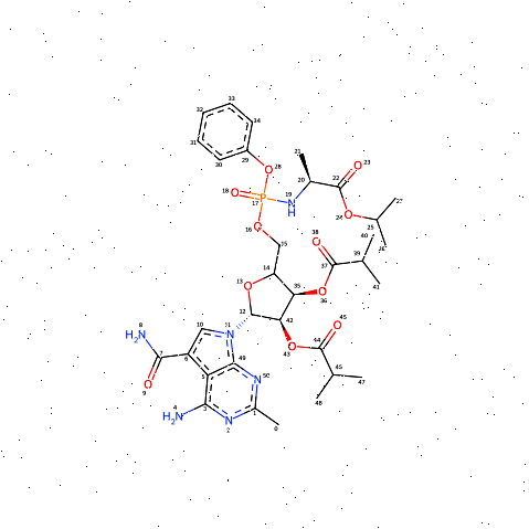 Cc1nc(N)c2c(C(N)=O)cn([C@@H]3OC(COP(=O)(N[C@@H](C)C(=O)OC(C)C)Oc4ccccc4)[C@@H](OC(=O)C(C)C)[C@H]3OC(=O)C(C)C)c2n1